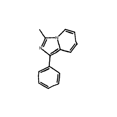 Cc1nc(-c2ccccc2)c2ccccn12